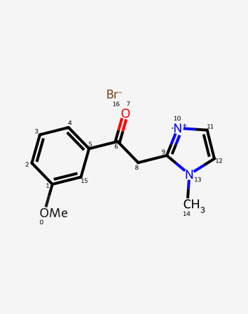 COc1cccc(C(=O)CC2=[N+]C=CN2C)c1.[Br-]